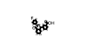 O=C(O)c1cccc(-c2nn(-c3ccc(F)cc3)c(=O)c3ccccc23)c1